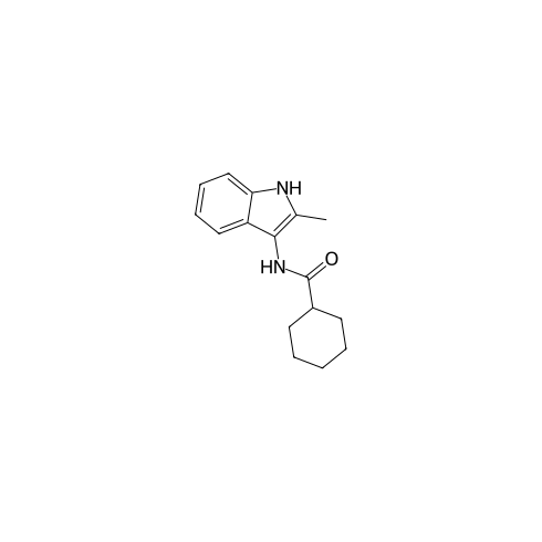 Cc1[nH]c2ccccc2c1NC(=O)C1CCCCC1